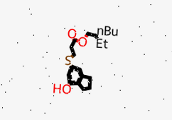 CCCCC(CC)COC(=O)CCSc1cc(O)c2c(c1)CCC2